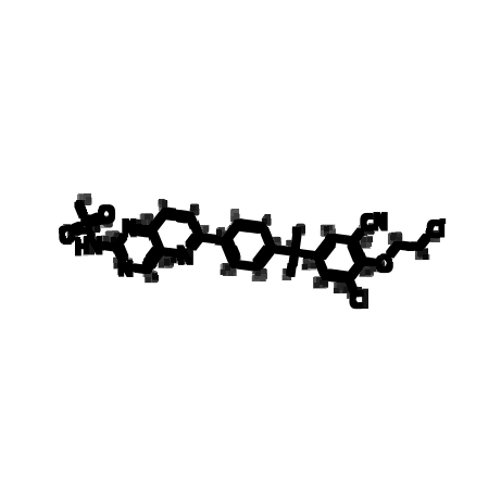 CC(C)(c1ccc(-c2ccc3nc(NS(C)(=O)=O)ncc3n2)cc1)c1cc(Cl)c(OCCCl)c(C#N)c1